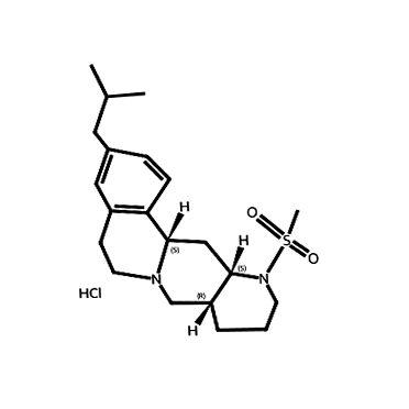 CC(C)Cc1ccc2c(c1)CCN1C[C@H]3CCCN(S(C)(=O)=O)[C@H]3C[C@@H]21.Cl